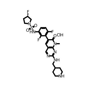 Cl.Cn1c(=O)c(-c2c(F)ccc(NS(=O)(=O)N3CC[C@@H](F)C3)c2F)cc2cnc(NCC3CCNCC3)nc21